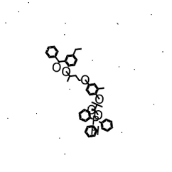 CCc1ccc(OC(C)CCOc2ccc(OC(C)(C)C(=O)O[PH](c3ccccc3)(c3ccccc3)c3ccccc3)c(C)c2)c(C(=O)c2ccccc2)c1